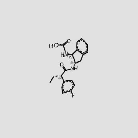 CC[C@H](C(=O)N[C@H]1Cc2ccccc2[C@@H]1NC(=O)O)c1ccc(F)cc1